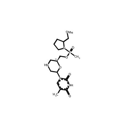 COCC1CCCN1P(C)(=O)OC[C@@H]1CNCC(n2cc(C)c(=O)[nH]c2=O)O1